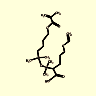 C=COCCCC(C(=O)O)[Si](C)(C)O[Si](C)(C)CCCCOC(=O)C(=C)C